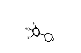 Oc1c(F)cc(C2CCOCC2)cc1Br